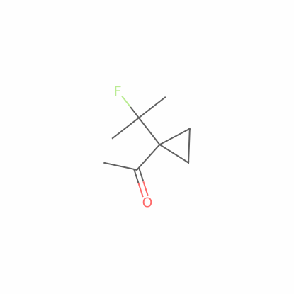 CC(=O)C1(C(C)(C)F)CC1